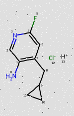 Nc1cnc(F)cc1CC1CC1.[Cl-].[H+]